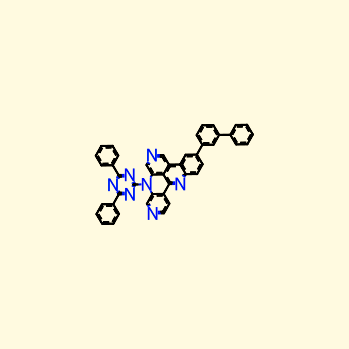 c1ccc(-c2cccc(-c3ccc4nc5c6c(cncc6c4c3)N(c3nc(-c4ccccc4)nc(-c4ccccc4)n3)c3cnccc3-5)c2)cc1